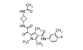 CC(=O)NC1CC(NC(=O)C(=O)c2c(C)c(C(=O)Nc3ccc(F)c(C)c3)c(C)n2C)C1